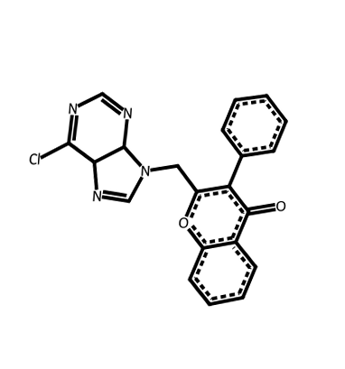 O=c1c(-c2ccccc2)c(CN2C=NC3C(Cl)=NC=NC32)oc2ccccc12